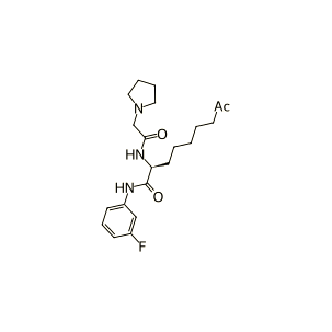 CC(=O)CCCCC[C@H](NC(=O)CN1CCCC1)C(=O)Nc1cccc(F)c1